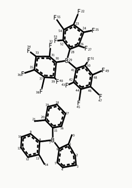 Cc1ccccc1B(c1ccccc1C)c1ccccc1C.Fc1c(F)c(F)c(B(c2c(F)c(F)c(F)c(F)c2F)c2c(F)c(F)c(F)c(F)c2F)c(F)c1F